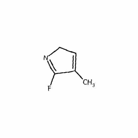 CC1=CCN=C1F